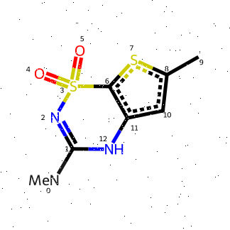 CNC1=NS(=O)(=O)c2sc(C)cc2N1